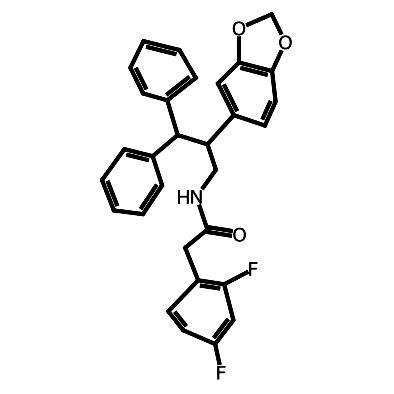 O=C(Cc1ccc(F)cc1F)NCC(c1ccc2c(c1)OCO2)C(c1ccccc1)c1ccccc1